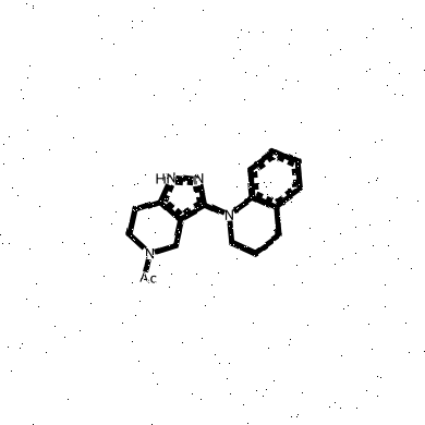 CC(=O)N1CCc2[nH]nc(N3CCCc4ccccc43)c2C1